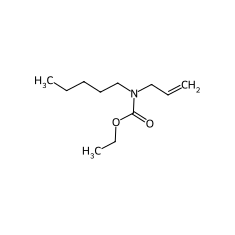 C=CCN(CCCCC)C(=O)OCC